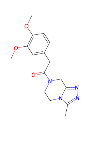 COc1ccc(CC(=O)N2CCn3c(C)nnc3C2)cc1OC